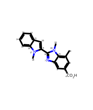 Cc1cc(C(=O)O)cc2nc(-c3cc4ccccc4n3C)n(C)c12